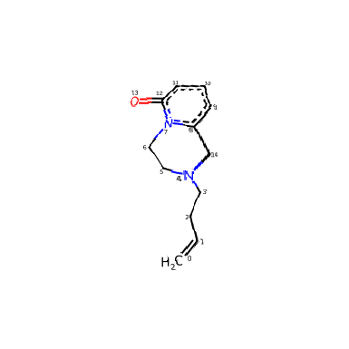 C=CCCN1CCn2c(cccc2=O)C1